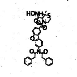 CC1(C)SCCN(S(=O)(=O)c2ccc3oc4cc(N(C(=O)Cc5ccccc5)C(=O)Cc5ccccc5)ccc4c3c2)C1C(=O)NO